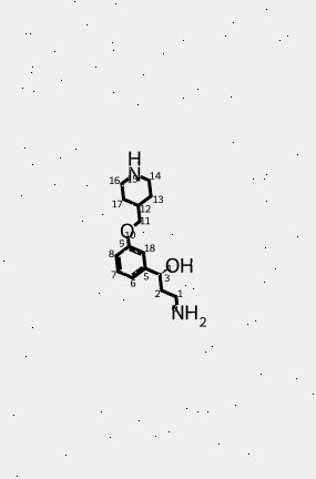 NCC[C@@H](O)c1cccc(OCC2CCNCC2)c1